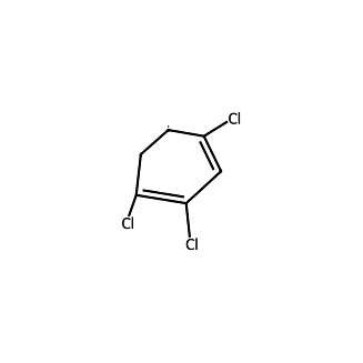 ClC1=CC(Cl)=C(Cl)C[CH]1